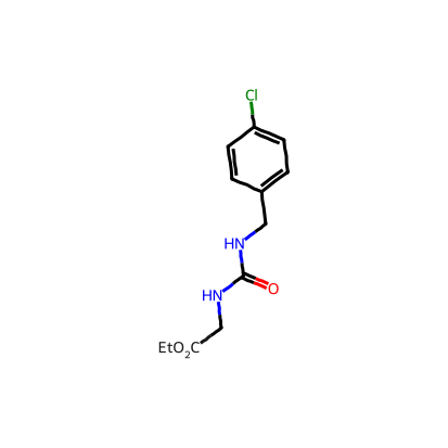 CCOC(=O)CNC(=O)NCc1ccc(Cl)cc1